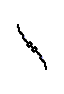 CCCCC#C/C=C/C#Cc1ccc(-c2ccc(C#C/C=C/C#CCCCC)cc2)cc1